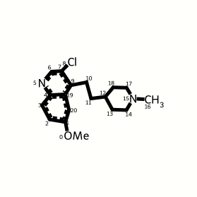 COc1ccc2ncc(Cl)c(CCC3CCN(C)CC3)c2c1